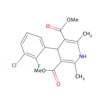 COC(=O)C1=C(C)NC(C)=C(C(=O)OC)C1c1cccc(Cl)c1F